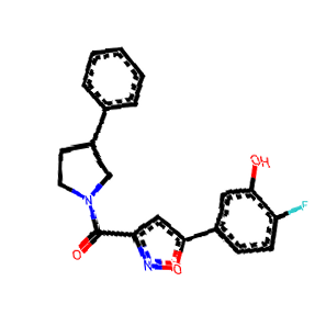 O=C(c1cc(-c2ccc(F)c(O)c2)on1)N1CCC(c2ccccc2)C1